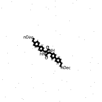 CCCCCCCCCCCCc1ccc(-c2ccc(C3=C4C(=O)NC(c5ccc(-c6ccc(CCCCCCCCCCCC)cc6)cc5)=C4C(=O)N3)cc2)cc1